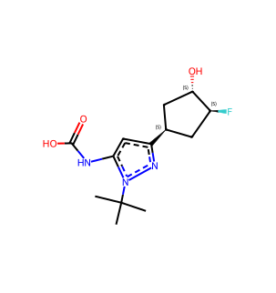 CC(C)(C)n1nc([C@H]2C[C@H](O)[C@@H](F)C2)cc1NC(=O)O